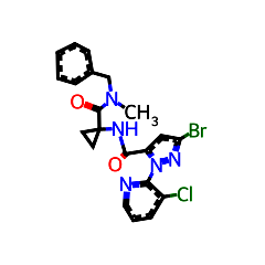 CN(Cc1ccccc1)C(=O)C1(NC(=O)c2cc(Br)nn2-c2ncccc2Cl)CC1